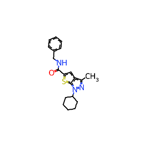 Cc1nn(C2CCCCC2)c2sc(C(=O)NCc3ccccc3)cc12